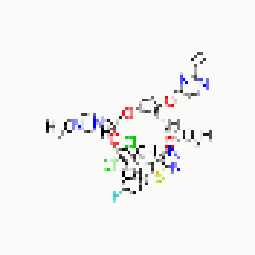 Cc1c(Cl)c2c(Cl)c(C)c1-c1c(-c3ccc(F)cc3)sc3ncnc(c13)O[C@@H](C(=O)O)Cc1cc(ccc1OCc1ccnc(C3CCC3)n1)OC[C@@H](CN1CCN(C)CC1)O2